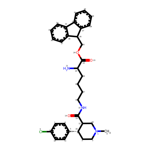 CN1CC[C@H](c2ccc(Cl)cc2)C(C(=O)NCCCCC(N)C(=O)OCC2c3ccccc3-c3ccccc32)C1